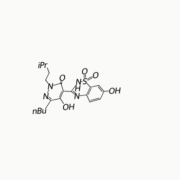 CCCCc1nn(CCC(C)C)c(=O)c(C2=Nc3ccc(O)cc3S(=O)(=O)N2)c1O